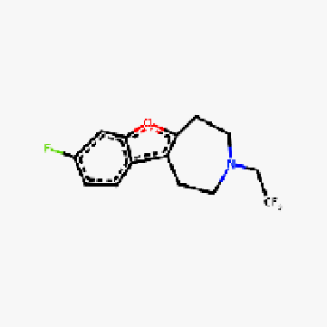 Fc1ccc2c3c(oc2c1)CCN(CC(F)(F)F)CC3